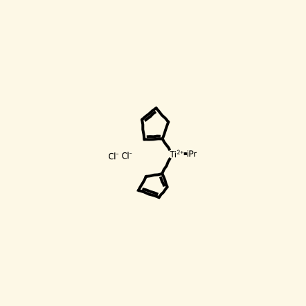 C[CH](C)[Ti+2]([C]1=CC=CC1)[C]1=CC=CC1.[Cl-].[Cl-]